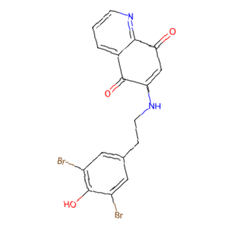 O=C1C(NCCc2cc(Br)c(O)c(Br)c2)=CC(=O)c2ncccc21